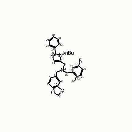 CCCCn1c(CN(Cc2ccc3c(c2)OCO3)Cc2cc(F)ccc2C)cnc1-c1ccccc1